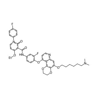 CCOc1ccn(-c2ccc(F)cc2)c(=O)c1C(=O)Nc1ccc(Oc2ccnc3cc(OCCCCCCN(C)C)c4c(c23)OCCO4)c(F)c1